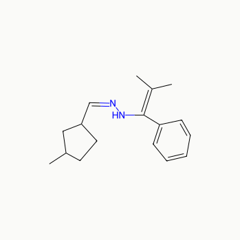 CC(C)=C(N/N=C\C1CCC(C)C1)c1ccccc1